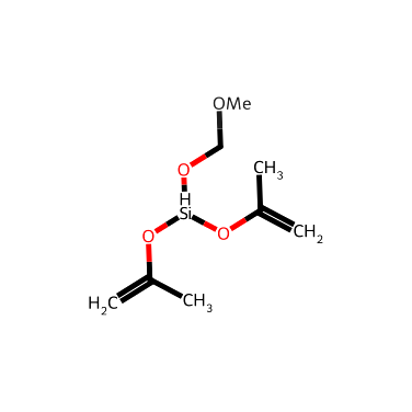 C=C(C)O[SiH](OCOC)OC(=C)C